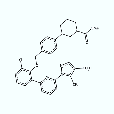 COC(=O)N1CCCC(c2ccc(COc3c(Cl)cccc3-c3cccc(-n4ncc(C(=O)O)c4C(F)(F)F)n3)cc2)C1